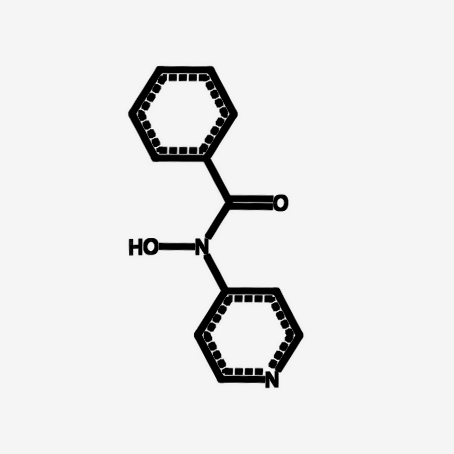 O=C(c1ccccc1)N(O)c1ccncc1